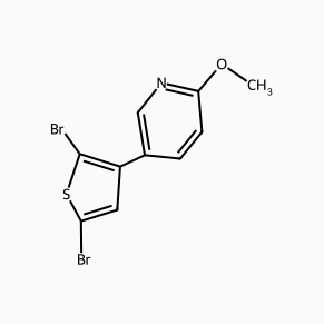 COc1ccc(-c2cc(Br)sc2Br)cn1